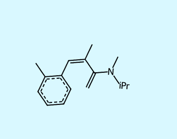 C=C(/C(C)=C\c1ccccc1C)N(C)C(C)C